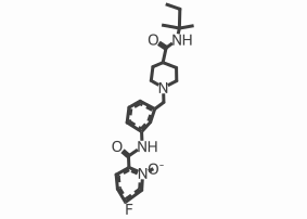 CCC(C)(C)NC(=O)C1CCN(Cc2cccc(NC(=O)c3ccc(F)c[n+]3[O-])c2)CC1